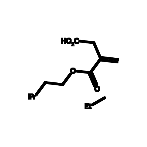 C=C(CC(=O)O)C(=O)OCCC(C)C.CCC